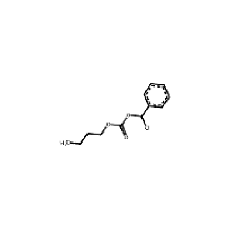 CCCCOC(=O)OC(Cl)c1ccccc1